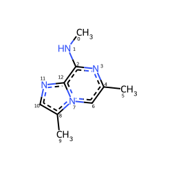 CNc1nc(C)cn2c(C)cnc12